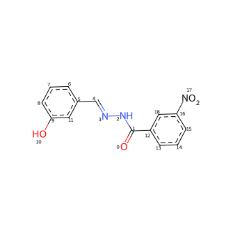 O=C(NN=Cc1cccc(O)c1)c1cccc([N+](=O)[O-])c1